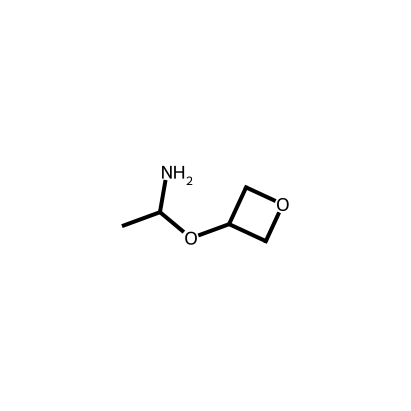 CC(N)OC1COC1